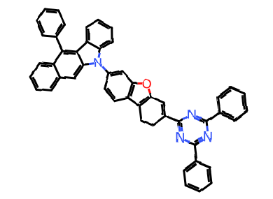 C1=C(c2nc(-c3ccccc3)nc(-c3ccccc3)n2)CCc2c1oc1cc(-n3c4ccccc4c4c(-c5ccccc5)c5ccccc5cc43)ccc21